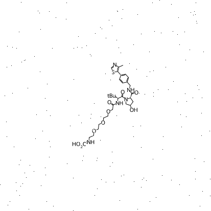 Cc1ncsc1-c1ccc(CNC(=O)[C@H]2C[C@@H](O)CN2C(=O)[C@@H](NC(=O)COCCOCCOCCNC(=O)O)C(C)(C)C)cc1